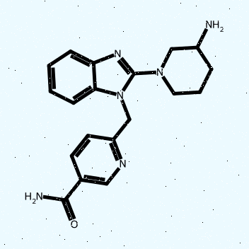 NC(=O)c1ccc(Cn2c(N3CCCC(N)C3)nc3ccccc32)nc1